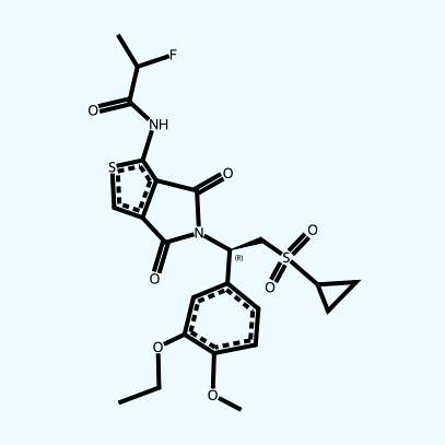 CCOc1cc([C@H](CS(=O)(=O)C2CC2)N2C(=O)c3csc(NC(=O)C(C)F)c3C2=O)ccc1OC